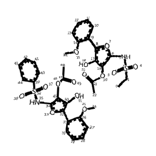 CCS(=O)(=O)Nc1oc(-c2ccccc2OC)c(O)c1OC(C)=O.COc1ccccc1-c1oc(NS(=O)(=O)c2ccccc2)c(OC(C)=O)c1O